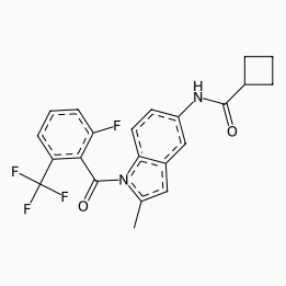 Cc1cc2cc(NC(=O)C3CCC3)ccc2n1C(=O)c1c(F)cccc1C(F)(F)F